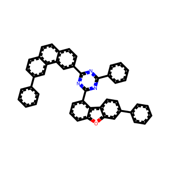 c1ccc(-c2ccc3c(c2)oc2cccc(-c4nc(-c5ccccc5)nc(-c5ccc6ccc7ccc(-c8ccccc8)cc7c6c5)n4)c23)cc1